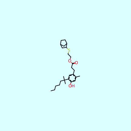 CCCCCC(C)(C)c1cc(CCC(=O)OCCSC2CC3CCC2C3)c(C)cc1O